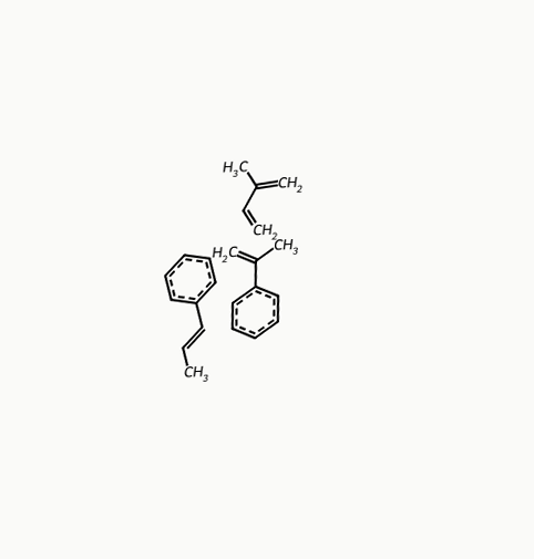 C=C(C)c1ccccc1.C=CC(=C)C.CC=Cc1ccccc1